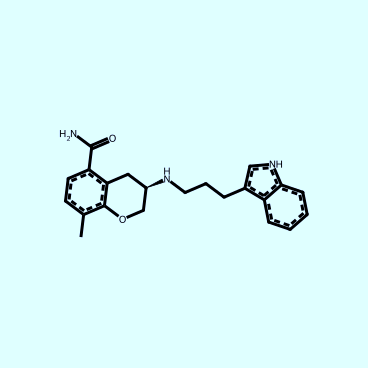 Cc1ccc(C(N)=O)c2c1OC[C@H](NCCCc1c[nH]c3ccccc13)C2